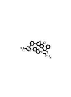 Nc1cnc(-c2cc(Cl)c3ncc(-c4cccc(-c5nc(N)cnc5-c5ccc6ncccc6c5)c4)cc3c2)c(-c2ccccc2)n1